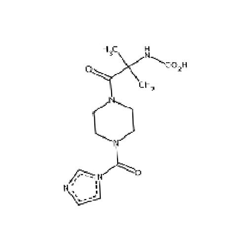 CC(C)(NC(=O)O)C(=O)N1CCN(C(=O)n2ccnc2)CC1